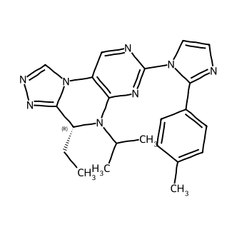 CC[C@@H]1c2nncn2-c2cnc(-n3ccnc3-c3ccc(C)cc3)nc2N1C(C)C